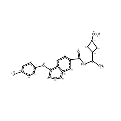 CC(NC(=O)c1ccc2c(Oc3ccc(C(F)(F)F)cc3)cccc2c1)C1CN(C(=O)O)C1